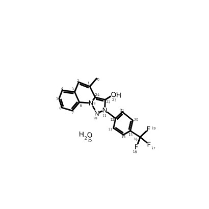 CC1=Cc2ccccc2N2[N]N(c3ccc(C(F)(F)F)cc3)C(O)=C12.O